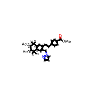 COC(=O)c1ccc(/C=C/c2cc3c(cc2Cn2cccn2)C(C)(C)[C@H](OC(C)=O)[C@H](OC(C)=O)C3(C)C)cc1